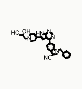 N#Cc1cn(Cc2ccccc2)c2cc(-c3ncnc4[nH]c(C5=CCN(CC(O)CO)CC5)cc34)ccc12